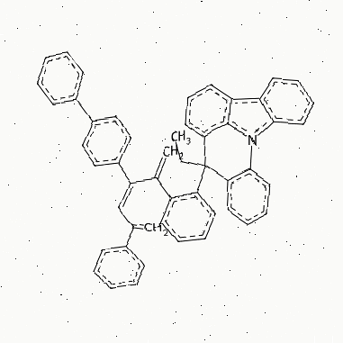 C=C(/C=C(\C(=C)c1ccccc1C1(CC)c2ccccc2-n2c3ccccc3c3cccc1c32)c1ccc(-c2ccccc2)cc1)c1ccccc1